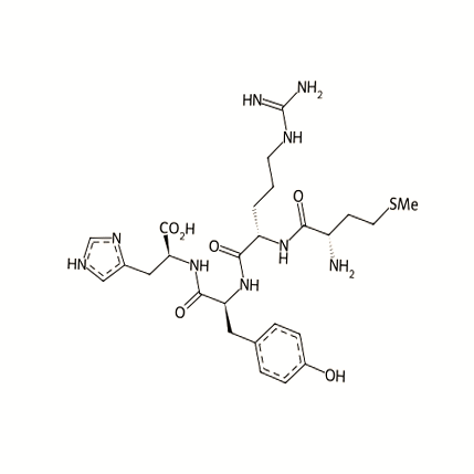 CSCC[C@H](N)C(=O)N[C@@H](CCCNC(=N)N)C(=O)N[C@@H](Cc1ccc(O)cc1)C(=O)N[C@@H](Cc1c[nH]cn1)C(=O)O